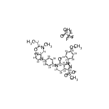 CCC(=O)N(C)Cc1nccn1-c1ccc(N2CCc3c(S(C)(=O)=O)nn(-c4ccc(OC)cc4)c3C2=O)cc1.O=C(O)C(F)(F)F